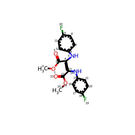 COC(=O)C(Nc1ccc(F)cc1)=C(Nc1ccc(F)cc1)C(=O)OC